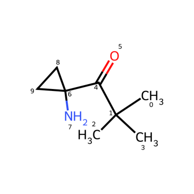 CC(C)(C)C(=O)C1(N)CC1